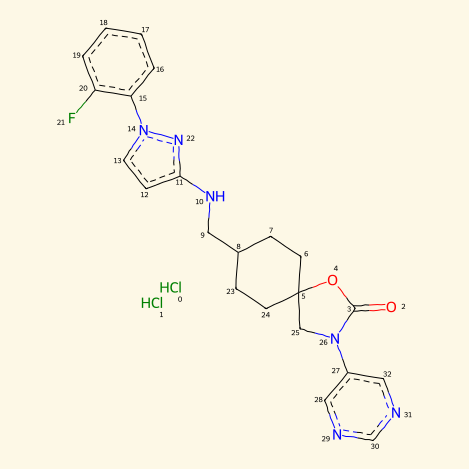 Cl.Cl.O=C1OC2(CCC(CNc3ccn(-c4ccccc4F)n3)CC2)CN1c1cncnc1